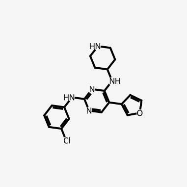 Clc1cccc(Nc2ncc(-c3ccoc3)c(NC3CCNCC3)n2)c1